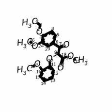 CCOc1ccc(C(=O)[C@@H](Oc2ccccc2OC)C(=O)OC)cc1OC